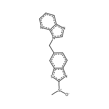 C[S+]([O-])c1nc2ccc(Cn3cnc4cccnc43)cc2s1